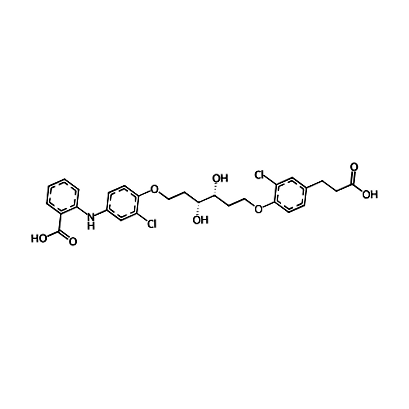 O=C(O)CCc1ccc(OCC[C@@H](O)[C@H](O)CCOc2ccc(Nc3ccccc3C(=O)O)cc2Cl)c(Cl)c1